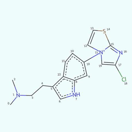 CN(C)CCc1c[nH]c2cc([N+]34C=CSC3=NC(Cl)=C4)ccc12